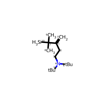 C=C(CCN(C(C)(C)C)C(C)(C)C)C(C)(C)[SiH3]